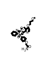 COCCCOc1ccnc(C[S+]([O-])c2nc3ccccc3n2S(=O)(=O)c2ccc(OCC(N)=O)cc2)c1C